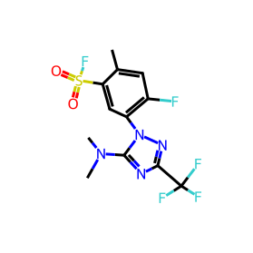 Cc1cc(F)c(-n2nc(C(F)(F)F)nc2N(C)C)cc1S(=O)(=O)F